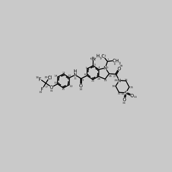 CC(C)N1c2c(Br)cc(C(=O)Nc3ccc(OC(F)(F)Cl)cc3)cc2CC1C(=O)N1CCS(=O)(=O)CC1